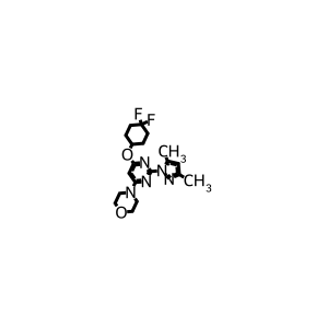 Cc1cc(C)n(-c2nc(OC3CCC(F)(F)CC3)cc(N3CCOCC3)n2)n1